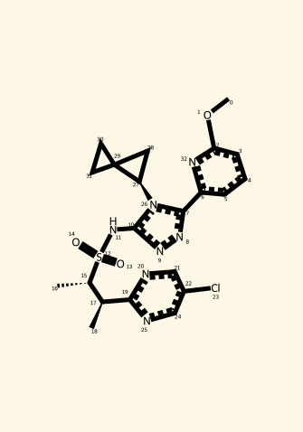 COc1cccc(-c2nnc(NS(=O)(=O)[C@@H](C)[C@H](C)c3ncc(Cl)cn3)n2[C@@H]2CC23CC3)n1